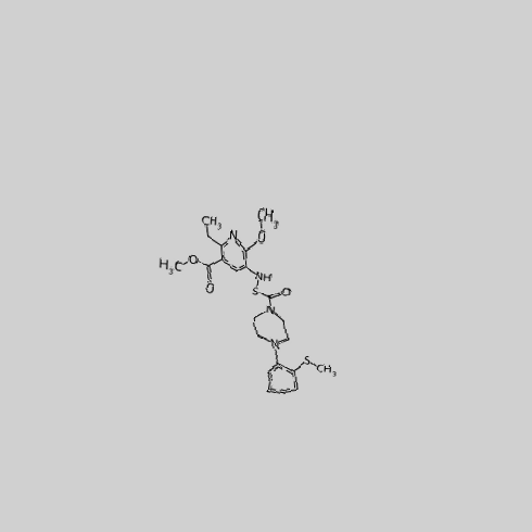 CCc1nc(OC)c(NSC(=O)N2CCN(c3ccccc3SC)CC2)cc1C(=O)OC